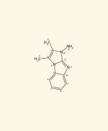 Cc1c(C)n2c3ccccc3nc2n1N